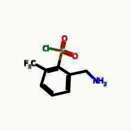 NCc1cccc(C(F)(F)F)c1S(=O)(=O)Cl